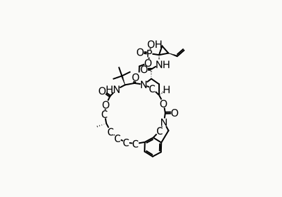 C=C[C@@H]1C[C@]1(NC(=O)[C@@H]1C[C@@H]2CN1C(=O)[C@H](C(C)(C)C)NC(=O)OC[C@@H](C)CCCCc1cccc3c1CN(C3)C(=O)O2)P(=O)(O)OCC